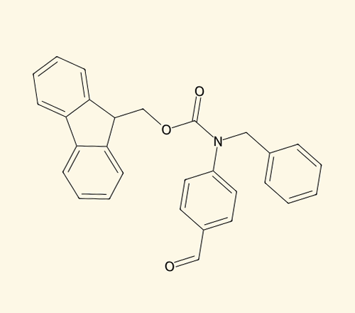 O=Cc1ccc(N(Cc2ccccc2)C(=O)OCC2c3ccccc3-c3ccccc32)cc1